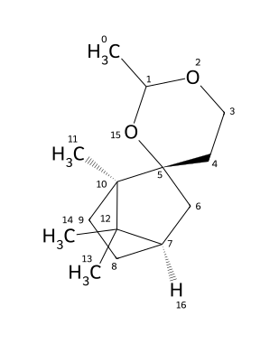 CC1OCC[C@]2(C[C@H]3CC[C@]2(C)C3(C)C)O1